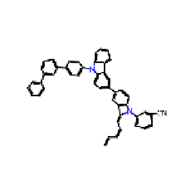 C=C/C=C\C=C1\c2cc(-c3ccc4c(c3)c3ccccc3n4-c3ccc(-c4cccc(-c5ccccc5)c4)cc3)ccc2N1c1cccc(C#N)c1